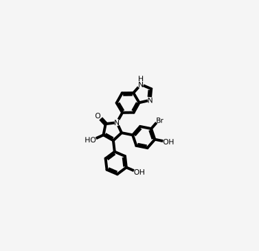 O=C1C(O)=C(c2cccc(O)c2)C(c2ccc(O)c(Br)c2)N1c1ccc2[nH]cnc2c1